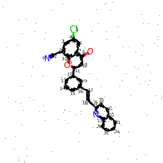 N#Cc1cc(Cl)cc2c(=O)cc(-c3cccc(C=Cc4ccc5ccccc5n4)c3)oc12